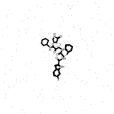 O=C(NC1CCCCC1)C(=O)[C@H](C[C@@H]1CCNC1=O)NC(=O)[C@H](Cc1ccccc1)NC(=O)c1cc2ccc(F)cc2[nH]1